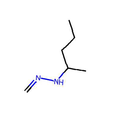 C=NNC(C)CCC